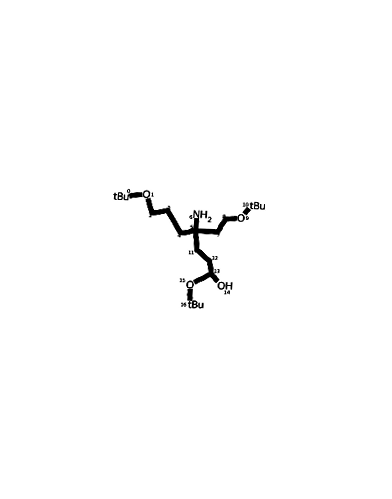 CC(C)(C)OCCCC(N)(CCOC(C)(C)C)CCC(O)OC(C)(C)C